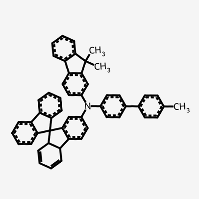 Cc1ccc(-c2ccc(N(c3ccc4c(c3)C(C)(C)c3ccccc3-4)c3ccc4c(c3)C3(c5ccccc5-c5ccccc53)C3C=CC=CC43)cc2)cc1